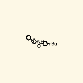 CCCCc1ccc(C(=O)Nc2ccn(-c3ccccc3)n2)cc1